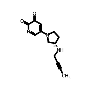 CC#CCN[C@H]1CCN(C2=CC(=O)C(=O)N=C2)C1